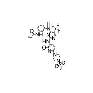 C=CC(=O)Nc1cccc(Nc2nc(Nc3ccc(N4CCN(S(=O)(=O)CC)CC4)nc3OC)ncc2C(F)(F)F)c1